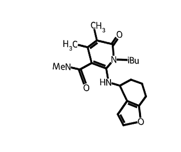 CCC(C)n1c(NC2CCCc3occc32)c(C(=O)NC)c(C)c(C)c1=O